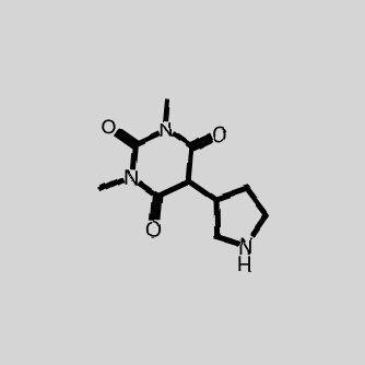 CN1C(=O)C(C2CCNC2)C(=O)N(C)C1=O